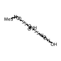 CSCC/N=C\OOCCSCSCCOC(=O)NCCSCSCC/N=C/OOCCSCCO